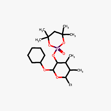 CCC1OC(OC2CCCCC2)C(OP2(=O)OC(C)(C)CC(C)(C)O2)C(C)C1C